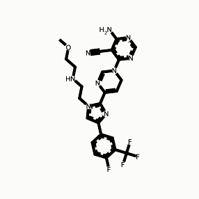 COCCNCCn1cc(-c2ccc(F)c(C(F)(F)F)c2)nc1C1=CCN(c2ncnc(N)c2C#N)C=N1